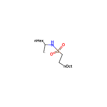 [CH2]C(CCCCCC)NS(=O)(=O)CCCCCCCCCC